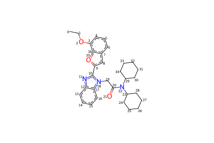 CCOc1cccc2cc(-c3nc4ccccc4n3CC(=O)N(C3CCCCC3)C3CCCCC3)oc12